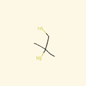 CC(C)(S)CS